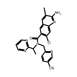 Cc1cc2cc(C(=O)N(Cc3ccc(C#N)cn3)C(C)c3ncccn3)c(Cl)cc2nc1N